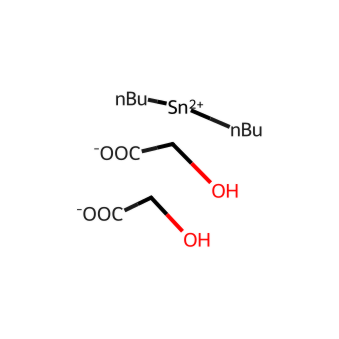 CCC[CH2][Sn+2][CH2]CCC.O=C([O-])CO.O=C([O-])CO